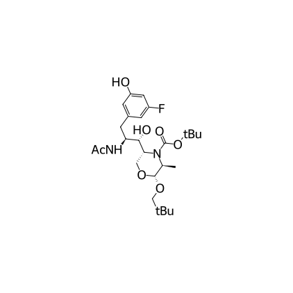 CC(=O)N[C@@H](Cc1cc(O)cc(F)c1)[C@H](O)[C@H]1CO[C@@H](OCC(C)(C)C)[C@H](C)N1C(=O)OC(C)(C)C